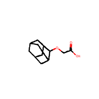 O=C(O)COC1C2CC3CC(C2)CC1C3